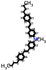 CCCCc1ccc(/C=C/c2ccc(N(C)c3ccc(/C=C/c4ccc(CCCC)cc4)cc3)cc2)cc1